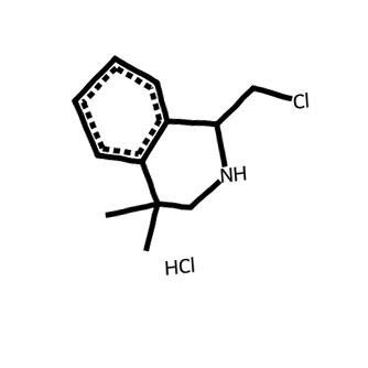 CC1(C)CNC(CCl)c2ccccc21.Cl